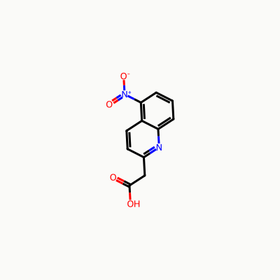 O=C(O)Cc1ccc2c([N+](=O)[O-])cccc2n1